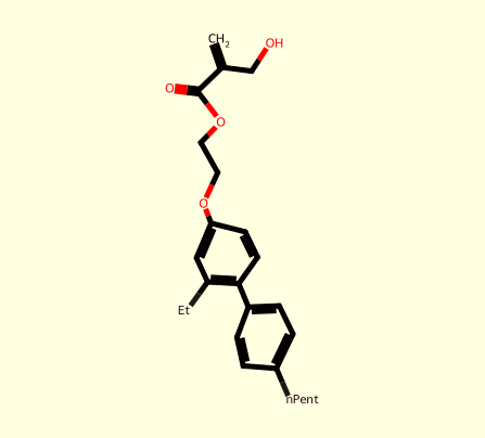 C=C(CO)C(=O)OCCOc1ccc(-c2ccc(CCCCC)cc2)c(CC)c1